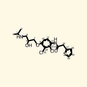 CC(C)NCC(O)COc1ccc(NC(=O)Cc2cccs2)c(Cl)c1Cl